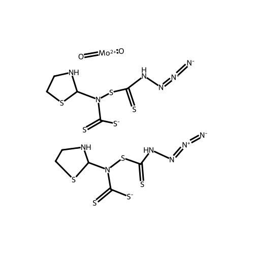 [N-]=[N+]=NNC(=S)SN(C(=S)[S-])C1NCCS1.[N-]=[N+]=NNC(=S)SN(C(=S)[S-])C1NCCS1.[O]=[Mo+2]=[O]